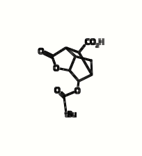 CC(C)(C)C(=O)OC1C2CC3C1OC(=O)C3C2C(=O)O